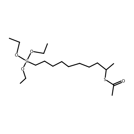 CCO[Si](CCCCCCCCC(C)SC(C)=O)(OCC)OCC